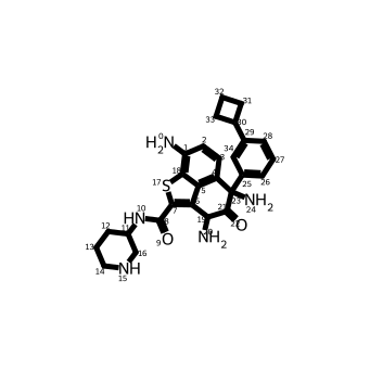 Nc1ccc2c3c(c(C(=O)NC4CCCNC4)sc13)C(N)C(=O)C2(N)c1cccc(C2CCC2)c1